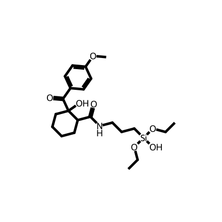 CCO[Si](O)(CCCNC(=O)C1CCCCC1(O)C(=O)c1ccc(OC)cc1)OCC